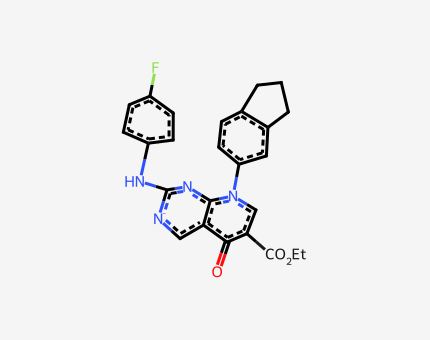 CCOC(=O)c1cn(-c2ccc3c(c2)CCC3)c2nc(Nc3ccc(F)cc3)ncc2c1=O